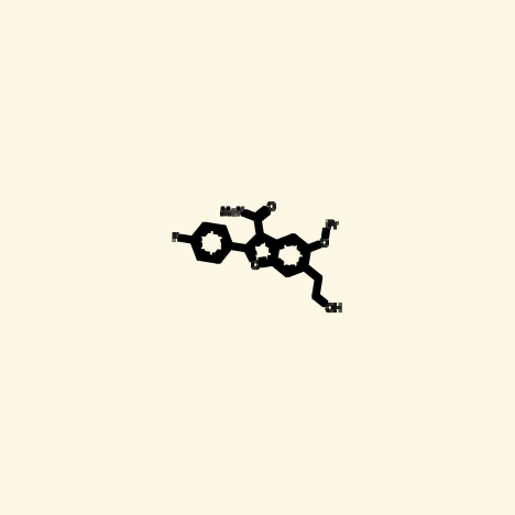 CNC(=O)c1c(-c2ccc(F)cc2)oc2cc(CCO)c(OC(C)C)cc12